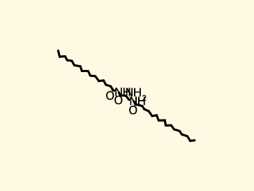 CCCCCCCCCCCCCCCC(=O)NCC(N)C(=O)NC(=O)CCCCCCCCCCCCCCC